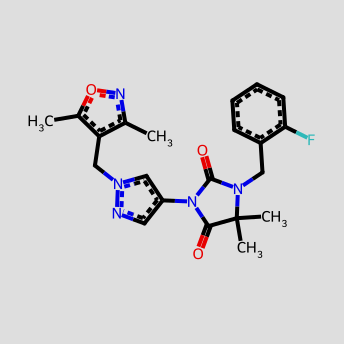 Cc1noc(C)c1Cn1cc(N2C(=O)N(Cc3ccccc3F)C(C)(C)C2=O)cn1